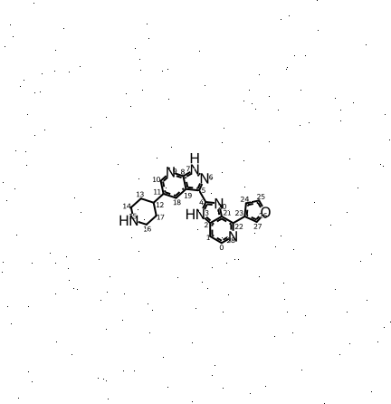 c1cc2[nH]c(-c3n[nH]c4ncc(C5CCNCC5)cc34)nc2c(-c2ccoc2)n1